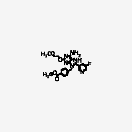 COCCOc1nc(N)c2c(n1)N(Cc1ccc(C(=O)OC)cc1)C(c1cncc(F)c1)N2